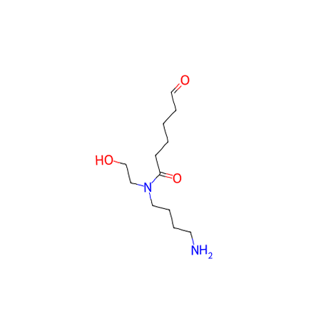 NCCCCN(CCO)C(=O)CCCCC=O